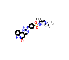 CN(C)CC(C)(C)CNS(=O)(=O)c1ccc(Nc2ncc3c(n2)-c2ccccc2NC(=O)C3)cc1